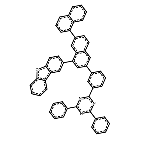 c1ccc(-c2nc(-c3ccccc3)nc(-c3cccc(-c4cc(-c5ccc6oc7ccccc7c6c5)c5cc(-c6cccc7ccccc67)ccc5c4)c3)n2)cc1